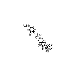 CC(=O)Nc1ccc(CCS(=O)(=O)N2CCC3(CC2)N=C(C24CC5CC(CC(C5)C2)C4)NC3=O)c(C)c1